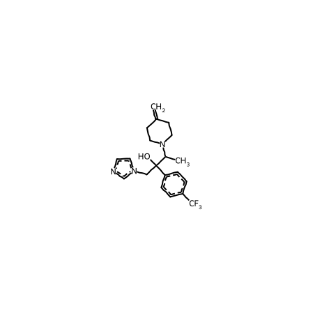 C=C1CCN(C(C)C(O)(Cn2ccnc2)c2ccc(C(F)(F)F)cc2)CC1